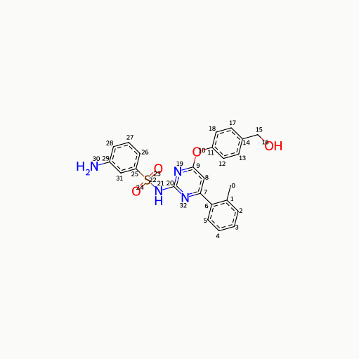 Cc1ccccc1-c1cc(Oc2ccc(CO)cc2)nc(NS(=O)(=O)c2cccc(N)c2)n1